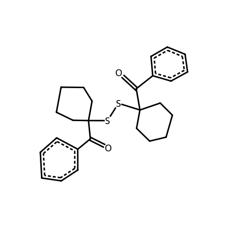 O=C(c1ccccc1)C1(SSC2(C(=O)c3ccccc3)CCCCC2)CCCCC1